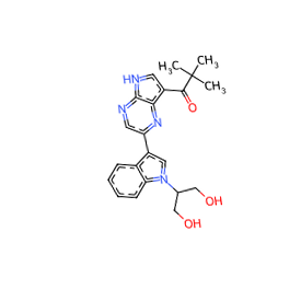 CC(C)(C)C(=O)c1c[nH]c2ncc(-c3cn(C(CO)CO)c4ccccc34)nc12